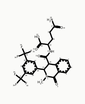 CN1C(=O)c2ccccc2C(C(=O)NC(CCC(N)=O)C(=O)O)C1c1cc(C(F)(F)F)cc(C(F)(F)F)c1